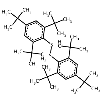 CC(C)(C)c1cc(C(C)(C)C)c(SSc2c(C(C)(C)C)cc(C(C)(C)C)cc2C(C)(C)C)c(C(C)(C)C)c1